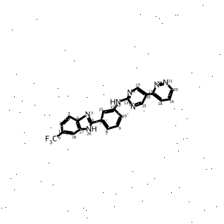 FC(F)(F)c1ccc2nc(-c3cccc(Nc4ncc(-c5cccnn5)cn4)c3)[nH]c2c1